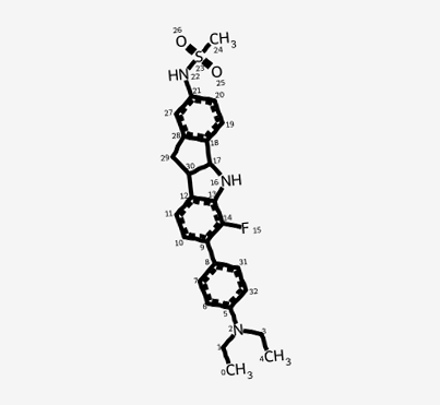 CCN(CC)c1ccc(-c2ccc3c(c2F)NC2c4ccc(NS(C)(=O)=O)cc4CC32)cc1